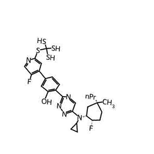 CCC[C@]1(C)CC[C@H](F)[C@H](N(c2cnc(-c3ccc(-c4cc(SC(S)(S)S)ncc4F)cc3O)nn2)C2CC2)C1